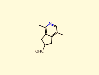 Cc1cnc(C)c2c1CC(C=O)C2